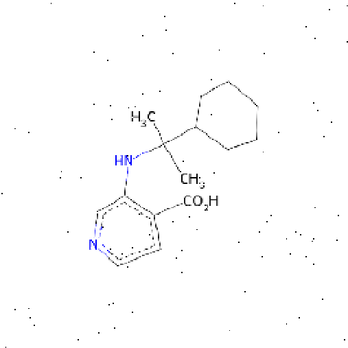 CC(C)(Nc1cnccc1C(=O)O)C1CCCCC1